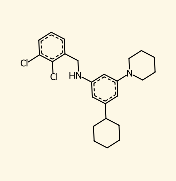 Clc1cccc(CNc2cc(C3CCCCC3)cc(N3CCCCC3)c2)c1Cl